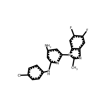 Cc1nc2cc(F)c(F)cc2n1-c1cc(N)cc(Nc2ccc(Cl)cc2)n1